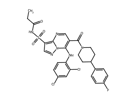 CCC(=O)NS(=O)(=O)c1cnn2c(Nc3ccc(Cl)cc3Cl)c(C(=O)N3CCC(c4ccc(F)cc4)CC3)cnc12